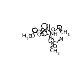 C=CC(=O)N1CCN(C2NC(OCC3CCCN3C)NC3(C4CCCCCC4)C(=O)[C@@]4(CCC23)Cc2cccc(OC)c2O4)CC1CC#N